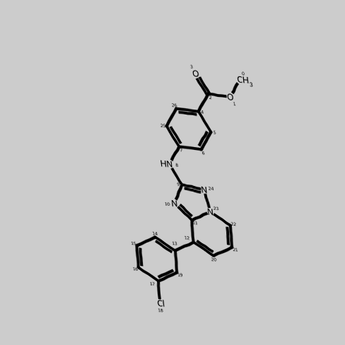 COC(=O)c1ccc(Nc2nc3c(-c4cccc(Cl)c4)cccn3n2)cc1